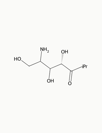 CC(C)C(=O)[C@@H](O)C(O)C(N)CO